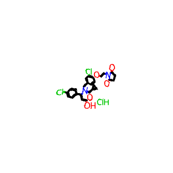 Cl.O=C(O)CC(c1ccc(Cl)cc1)N(Cc1ccc(OCCN2C(=O)CCC2=O)c(Cl)c1)CC1CC1